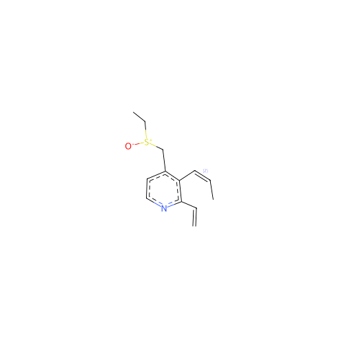 C=Cc1nccc(C[S+]([O-])CC)c1/C=C\C